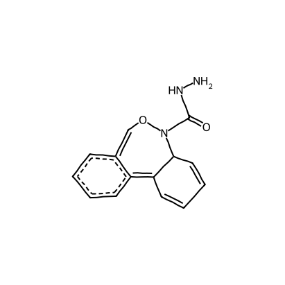 NNC(=O)N1OC=c2ccccc2=C2C=CC=CC21